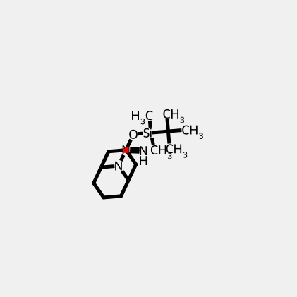 CC(C)(C)[Si](C)(C)OC1CC2CCCC(C1)N2N=N